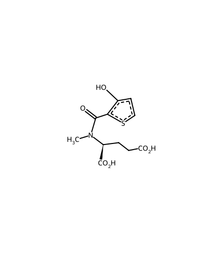 CN(C(=O)c1sccc1O)[C@@H](CCC(=O)O)C(=O)O